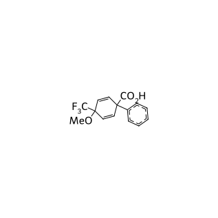 COC1(C(F)(F)F)C=CC(C(=O)O)(c2ccccc2)C=C1